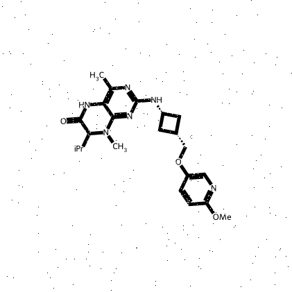 COc1ccc(OC[C@H]2C[C@@H](Nc3nc(C)c4c(n3)N(C)C(C(C)C)C(=O)N4)C2)cn1